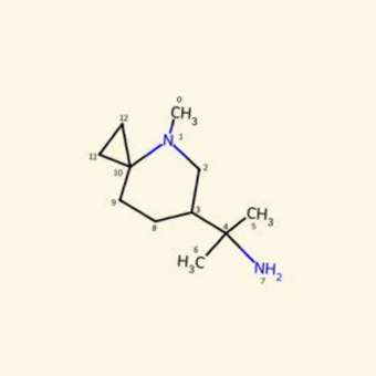 CN1CC(C(C)(C)N)CCC12CC2